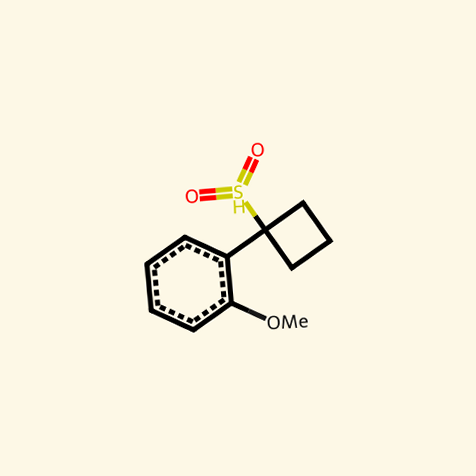 COc1ccccc1C1([SH](=O)=O)CCC1